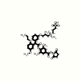 CCC[n+]1c2ccc(OC)cc2c(C(=O)Oc2c(C)cc(C(=O)ON3C(=O)CCC3=O)cc2C)c2cc(OCCC[N+](C)(C)CCCS(=O)(=O)O)ccc21